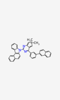 CC1(C)C=c2nc(-n3c4ccccc4c4c5ccccc5ccc43)nc(-c3cccc(-c4ccc5ccccc5c4)c3)c2=C1